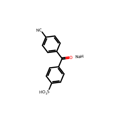 N#Cc1ccc(C(=O)c2ccc(S(=O)(=O)O)cc2)cc1.[NaH]